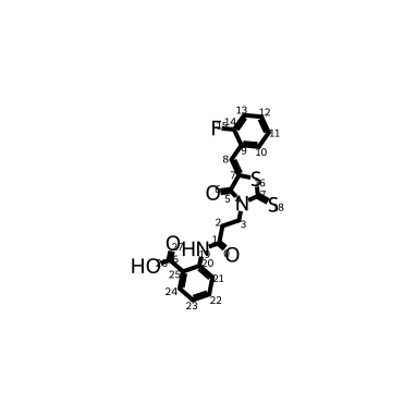 O=C(CCN1C(=O)/C(=C/c2ccccc2F)SC1=S)Nc1ccccc1C(=O)O